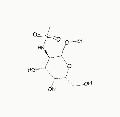 CCOC1O[C@H](CO)[C@H](O)[C@H](O)[C@H]1NS(C)(=O)=O